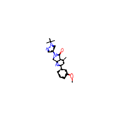 COc1cccc(-c2cc(C)c3c(n2)CN(c2cnn(C(C)(C)C)c2)C3=O)c1